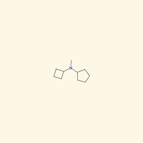 CN(C1[CH]CC1)C1CCCC1